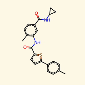 Cc1ccc(-c2ccc(C(=O)Nc3cc(C(=O)NC4CC4)ccc3C)s2)cc1